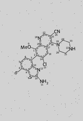 COc1c(-c2ccc(F)c3sc(N)nc23)c(Cl)cc2c(N3CCNCC3)c(C#N)cnc12